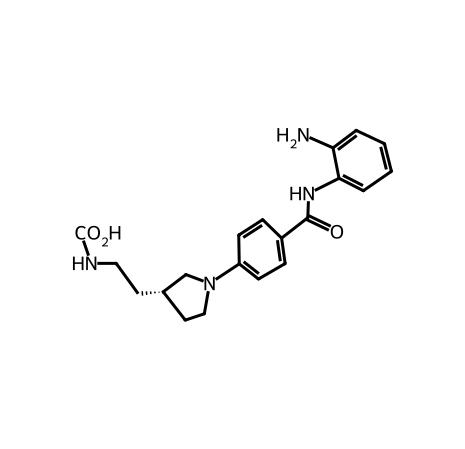 Nc1ccccc1NC(=O)c1ccc(N2CC[C@H](CCNC(=O)O)C2)cc1